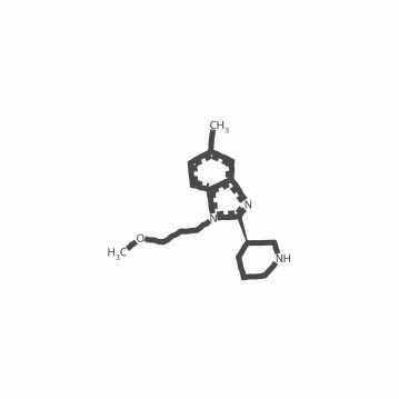 COCCCn1c([C@@H]2CCCNC2)nc2cc(C)ccc21